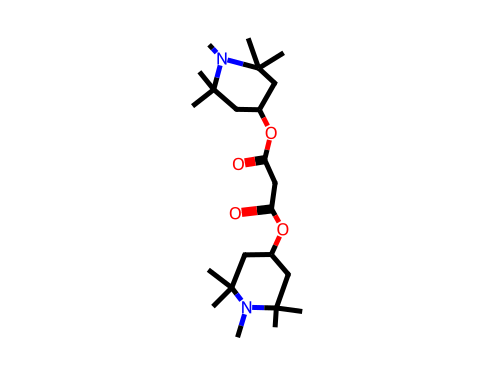 CN1C(C)(C)CC(OC(=O)CC(=O)OC2CC(C)(C)N(C)C(C)(C)C2)CC1(C)C